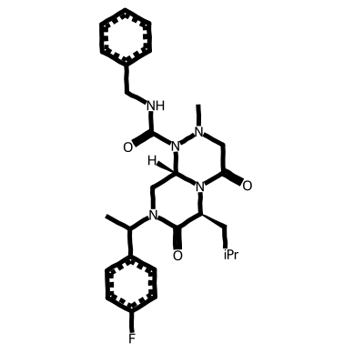 CC(C)C[C@H]1C(=O)N(C(C)c2ccc(F)cc2)C[C@H]2N1C(=O)CN(C)N2C(=O)NCc1ccccc1